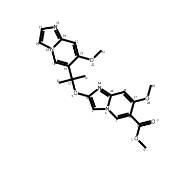 COC(=O)c1cn2cc(OC(C)(C)c3cn4ccnc4cc3OC)nc2cc1OC